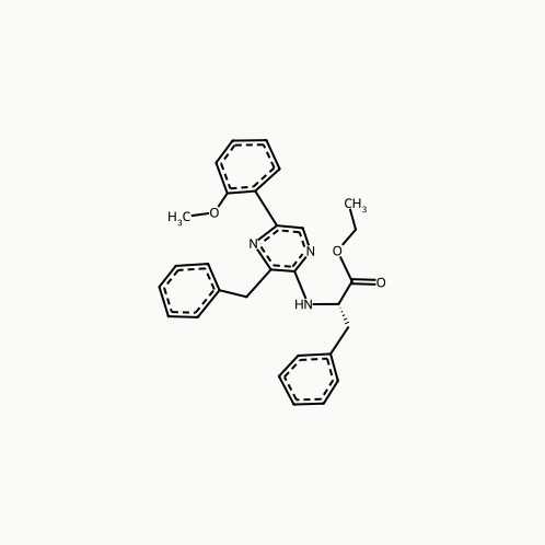 CCOC(=O)[C@H](Cc1ccccc1)Nc1ncc(-c2ccccc2OC)nc1Cc1ccccc1